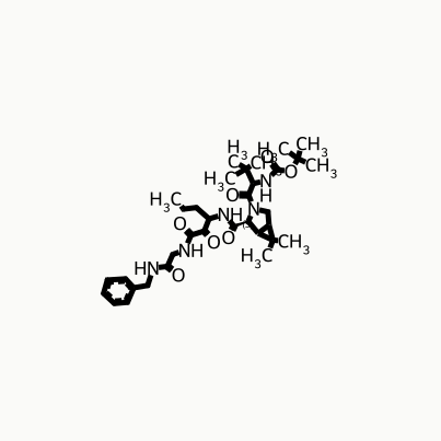 CCCC(NC(=O)[C@@H]1C2C(CN1C(=O)C(NC(=O)OC(C)(C)C)C(C)(C)C)C2(C)C)C(=O)C(=O)NCC(=O)NCc1ccccc1